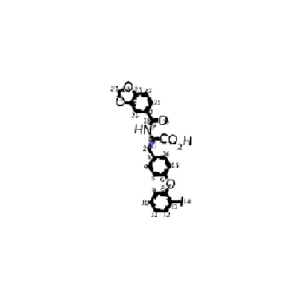 O=C(O)/C(=C\c1ccc(Oc2ccccc2I)cc1)NC(=O)c1ccc2c(c1)OCO2